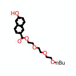 CCCCOCCOCCOCCOC(=O)c1ccc2cc(O)ccc2c1